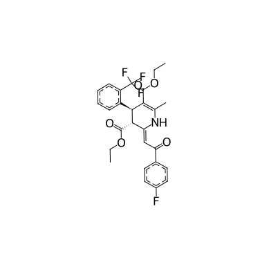 CCOC(=O)C1=C(C)N/C(=C\C(=O)c2ccc(F)cc2)[C@H](C(=O)OCC)[C@H]1c1ccccc1C(F)(F)F